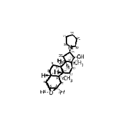 C[C@]12C[C@H]3O[C@H]3C[C@@H]1CC[C@@H]1[C@@H]2CC[C@]2(C)[C@@H](O)[C@H](N3CCCCC3)C[C@@H]12